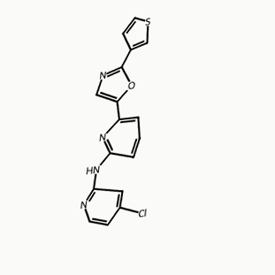 Clc1ccnc(Nc2cccc(-c3cnc(-c4ccsc4)o3)n2)c1